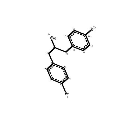 CC(C)(C)C(Cc1ccc(Br)cc1)Cc1ccc(Br)cc1